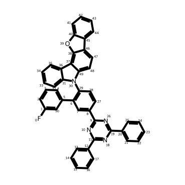 Fc1cccc(-c2cc(-c3nc(-c4ccccc4)nc(-c4ccccc4)n3)ccc2-n2c3ccccc3c3c4oc5ccccc5c4ccc32)c1